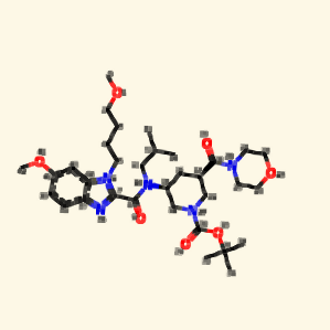 COCCCCn1c(C(=O)N(CC(C)C)[C@H]2C[C@@H](C(=O)N3CCOCC3)CN(C(=O)OC(C)(C)C)C2)nc2ccc(OC)cc21